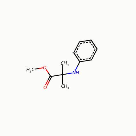 COC(=O)C(C)(C)Nc1[c]cccc1